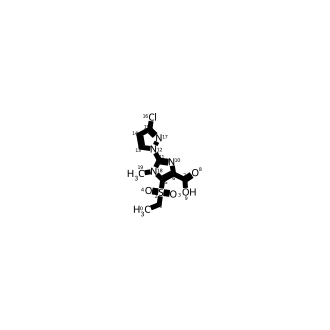 CCS(=O)(=O)c1c(C(=O)O)nc(-n2ccc(Cl)n2)n1C